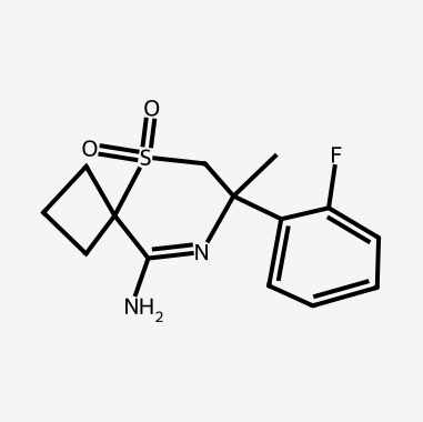 CC1(c2ccccc2F)CS(=O)(=O)C2(CCC2)C(N)=N1